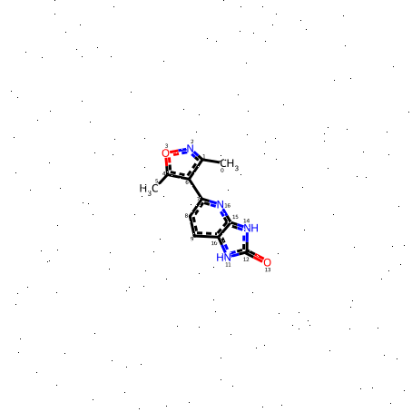 Cc1noc(C)c1-c1ccc2[nH]c(=O)[nH]c2n1